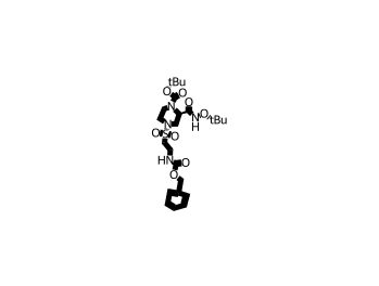 CC(C)(C)ONC(=O)[C@H]1CN(S(=O)(=O)CCNC(=O)OCc2ccccc2)CCN1C(=O)OC(C)(C)C